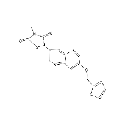 CN1C(=O)SC(c2cnc3cc(OCc4cccs4)ccc3c2)C1=O